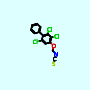 S=C=NCOc1cc(Cl)c(-c2ccccc2)c(Cl)c1Cl